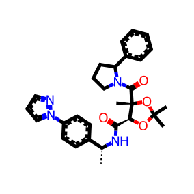 C[C@@H](NC(=O)[C@@H]1OC(C)(C)O[C@@]1(C)C(=O)N1CCCC1c1ccccc1)c1ccc(-n2cccn2)cc1